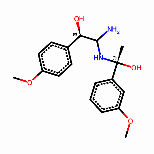 COc1ccc([C@@H](O)C(N)N[C@](C)(O)c2cccc(OC)c2)cc1